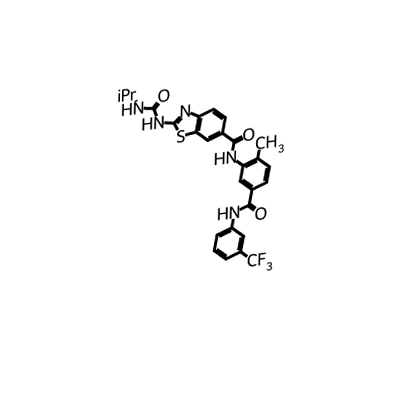 Cc1ccc(C(=O)Nc2cccc(C(F)(F)F)c2)cc1NC(=O)c1ccc2nc(NC(=O)NC(C)C)sc2c1